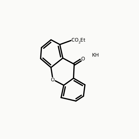 CCOC(=O)c1cccc2oc3ccccc3c(=O)c12.[KH]